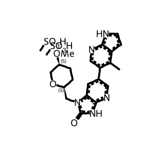 CO[C@H]1CC[C@@H](Cn2c(=O)[nH]c3ncc(-c4cnc5[nH]ccc5c4C)cc32)OC1.CS(=O)(=O)O.CS(=O)(=O)O